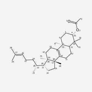 CC(=O)O[C@H]1CC[C@]2(C)C3=C(CCC2C1(C)C)[C@]1(C)CC[C@H]([C@H](C)CCC=C(C)C)[C@@]1(C)CC3